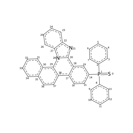 S=P(c1ccccc1)(c1ccccc1)c1ccc2c(c1)c1nc3ccccc3n1c1c3ccccc3ccc21